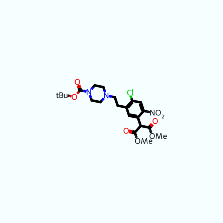 COC(=O)C(C(=O)OC)c1cc(CCN2CCN(C(=O)OC(C)(C)C)CC2)c(Cl)cc1[N+](=O)[O-]